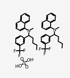 CCCCC(c1cccc(C(F)(F)F)c1)N(C)c1cccc2ccccc12.CCCCC(c1cccc(C(F)(F)F)c1)N(C)c1cccc2ccccc12.O=S(=O)(O)O